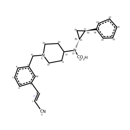 N#C/C=C/c1cccc(CN2CCC(N(C(=O)O)[C@@H]3C[C@H]3c3ccccc3)CC2)c1